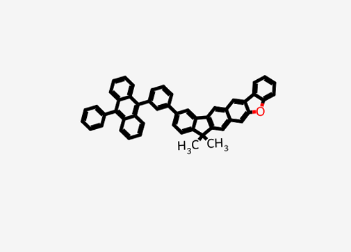 CC1(C)c2ccc(-c3cccc(-c4c5ccccc5c(-c5ccccc5)c5ccccc45)c3)cc2-c2cc3cc4c(cc3cc21)oc1ccccc14